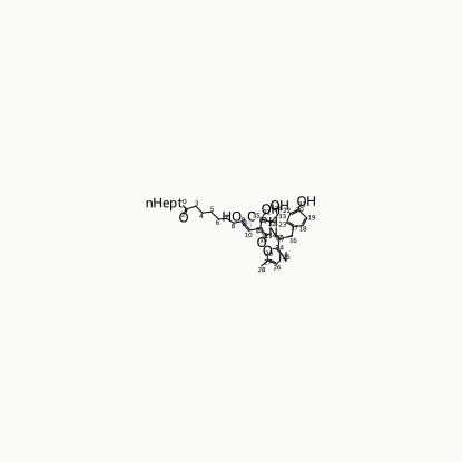 CCCCCCCC(=O)CCCCCC/C=C/[C@H](C(=O)N[C@@H](Cc1ccc(O)cc1)c1ncc(C)o1)[C@@](O)(CCO)C(=O)O